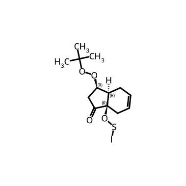 CC(C)(C)OO[C@@H]1CC(=O)[C@@]2(OSI)CC=CC[C@H]12